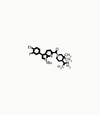 C=C(N)C1CCN(C(=O)c2ccc3c(-c4ccc(CC)c(F)c4)cn(C(C)(C)C)c3n2)CC1(C)C